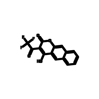 O=C(c1c(O)c2cc3ccccc3cc2oc1=O)C(F)(F)F